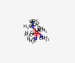 CCC(CC)OC1OC(COCC[N+](CC)(CC)CCN(CC)CC)C(C(CC)CC)C(OCCN(CC)CC)C1OCCN(CC)CC